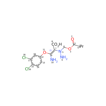 CC(C)C(=O)OCN(N)/C(C(=O)O)=C(\N)Oc1ccc(Cl)c(Cl)c1